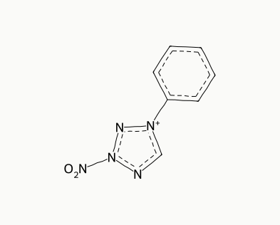 O=[N+]([O-])n1nc[n+](-c2ccccc2)n1